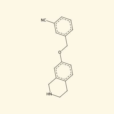 N#Cc1cccc(COc2ccc3c(c2)CNCC3)c1